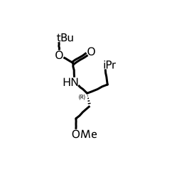 COCC[C@@H](CC(C)C)NC(=O)OC(C)(C)C